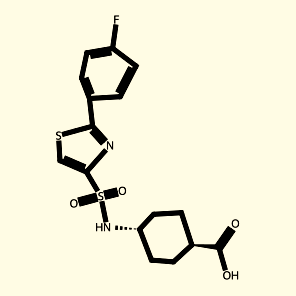 O=C(O)[C@H]1CC[C@H](NS(=O)(=O)c2csc(-c3ccc(F)cc3)n2)CC1